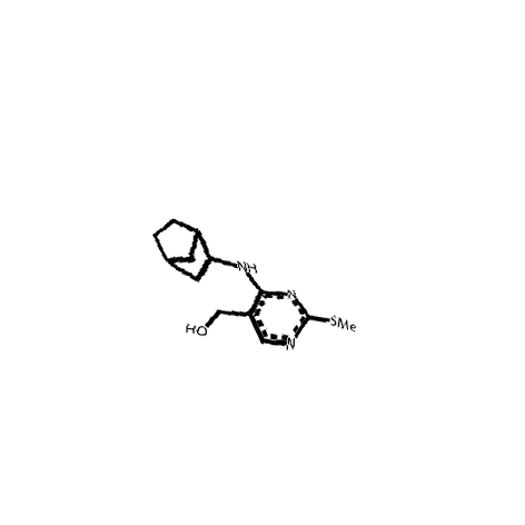 CSc1ncc(CO)c(NC2CC3CCC2C3)n1